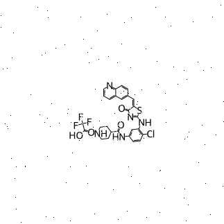 O=C(O)C(F)(F)F.O=C1N=C(Nc2cc(NC(=O)C3CCNCC3)ccc2Cl)SC1=Cc1ccc2ncccc2c1